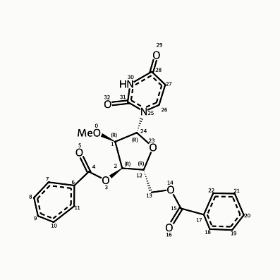 CO[C@@H]1[C@H](OC(=O)c2ccccc2)[C@@H](COC(=O)c2ccccc2)O[C@H]1n1ccc(=O)[nH]c1=O